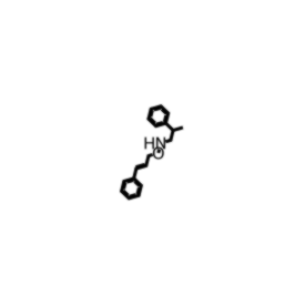 CC(CNOCC=Cc1ccccc1)c1ccccc1